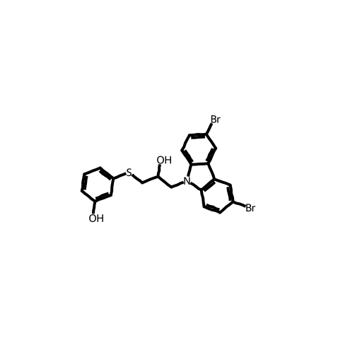 Oc1cccc(SCC(O)Cn2c3ccc(Br)cc3c3cc(Br)ccc32)c1